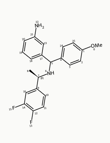 COc1ccc(C(N[C@H](C)c2ccc(F)c(F)c2)c2cccc(N)c2)cc1